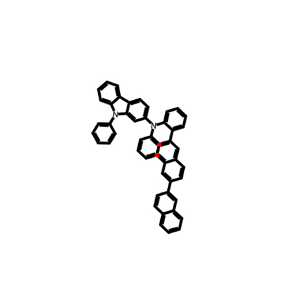 c1ccc(N(c2ccc3c4ccccc4n(-c4ccccc4)c3c2)c2ccccc2-c2ccc3cc(-c4ccc5ccccc5c4)ccc3c2)cc1